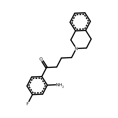 Nc1cc(F)ccc1C(=O)CCCN1CCc2ccccc2C1